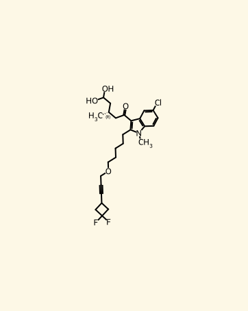 C[C@@H](CC(=O)c1c(CCCCCOCC#CC2CC(F)(F)C2)n(C)c2ccc(Cl)cc12)CC(O)O